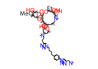 CC[C@H]1OC(=O)[C@H](C)[C@@H](O[C@H]2C[C@@](C)(OC)[C@@H](O)[C@H](C)O2)[C@H](C)[C@@H](O[C@H]2C[C@@H](N(C)CCc3cn(CCCCc4ccc(-n5cc(CN(C)C)nn5)cc4)nn3)C[C@@H](C)O2)[C@](C)(O)C[C@@H](C)CN(C)[C@H](C)[C@@H](O)[C@]1(C)O